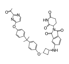 CC(=O)c1nccc(Oc2ccc(C(C)(C)c3ccc(O[C@H]4C[C@H](Nc5ccc6c(c5)C(=O)N(C5CCC(=O)NC5=O)C6=O)C4)cc3)cc2)n1